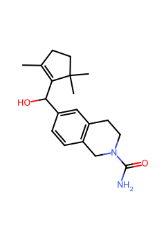 CC1=C(C(O)c2ccc3c(c2)CCN(C(N)=O)C3)C(C)(C)CC1